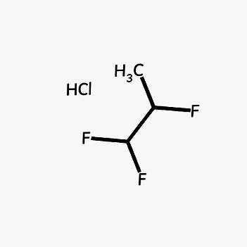 CC(F)C(F)F.Cl